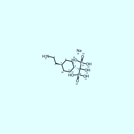 NCC[C@H]1CC[C@H](C(O)(P(=O)(O)O)P(=O)(O)O)CC1.[Na]